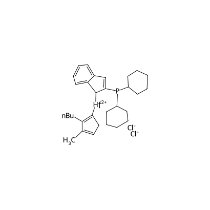 CCCCC1=[C]([Hf+2][CH]2C(P(C3CCCCC3)C3CCCCC3)=Cc3ccccc32)CC=C1C.[Cl-].[Cl-]